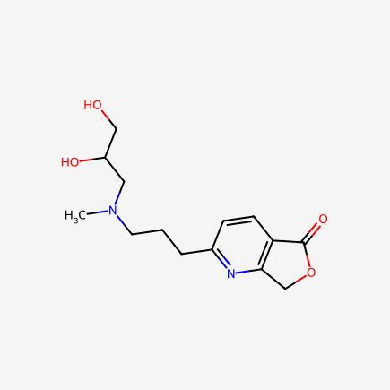 CN(CCCc1ccc2c(n1)COC2=O)CC(O)CO